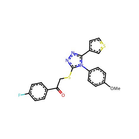 COc1ccc(-n2c(SCC(=O)c3ccc(F)cc3)nnc2-c2ccsc2)cc1